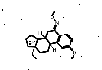 CC[C@@]12CCC[C@H]1[C@@H]1C/C(=N\OC)c3c[c]c(OC)cc3[C@H]1CC2